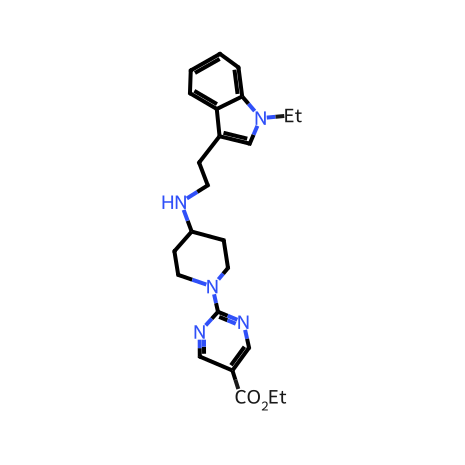 CCOC(=O)c1cnc(N2CCC(NCCc3cn(CC)c4ccccc34)CC2)nc1